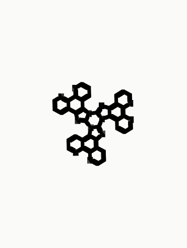 c1cnc2c(c1)c1nc3n(c1c1cccnc12)c1nc2c4cccnc4c4ncccc4c2n1c1nc2c4cccnc4c4ncccc4c2n31